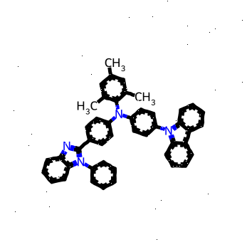 Cc1cc(C)c(N(c2ccc(-c3nc4ccccc4n3-c3ccccc3)cc2)c2ccc(-n3c4ccccc4c4ccccc43)cc2)c(C)c1